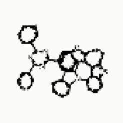 C1=CC2c3ccccc3N(c3cccc4sc5ccc6oc7cc(-c8nc(-c9ccccc9)nc(-c9ccccc9)n8)ccc7c6c5c34)C2C=C1